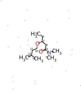 CCC(CC(=O)N(C)C)OCCC(C)C